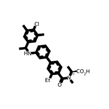 CCc1cc(-c2cccc(NC(C)c3cc(C)c(Cl)c(C)c3)c2)ccc1C(=O)N(C)[C@@H](C)C(=O)O